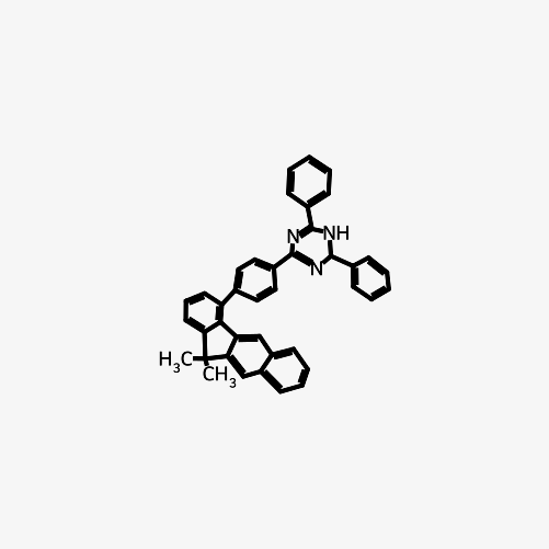 CC1(C)c2cc3ccccc3cc2-c2c(-c3ccc(C4=NC(c5ccccc5)NC(c5ccccc5)=N4)cc3)cccc21